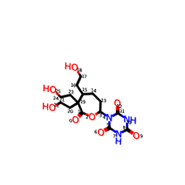 O=C1OC(n2c(=O)[nH]c(=O)[nH]c2=O)CCC(CCO)C1(CCO)CCO